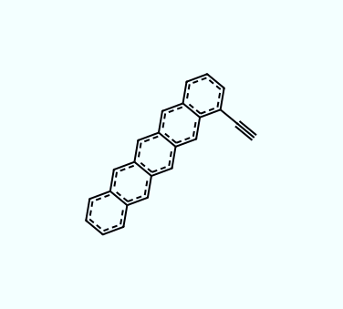 C#Cc1cccc2cc3cc4cc5ccccc5cc4cc3cc12